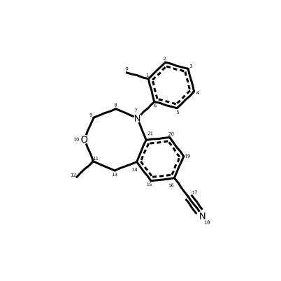 Cc1ccccc1N1CCOC(C)Cc2cc(C#N)ccc21